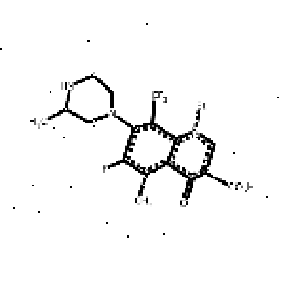 CCn1cc(C(=O)O)c(=O)c2c(C)c(F)c(N3CCNC(C)C3)c(C(F)(F)F)c21